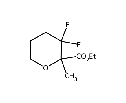 CCOC(=O)C1(C)OCCCC1(F)F